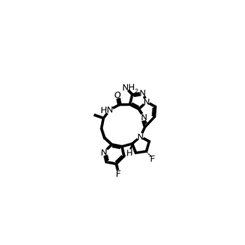 CC1CCc2ncc(F)cc2[C@H]2C[C@@H](F)CN2c2ccn3nc(N)c(c3n2)C(=O)N1